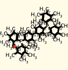 Cc1c(C)c(C)c(P(c2c(C)c(C)c(C)c(C)c2C)c2c(C)c(C)c(-c3c(C)c(C)c(P(c4c(C)c(C)c(C)c(C)c4C)c4c(C)c(C)c(C)c(C)c4C)c(C)c3C)c(C)c2C)c(C)c1C